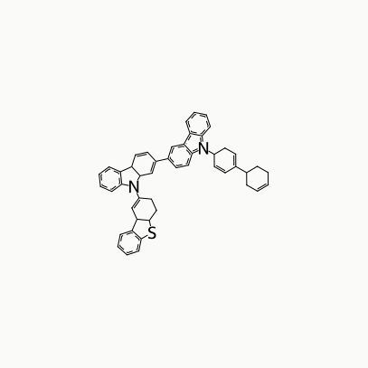 C1=CCC(C2=CCC(n3c4ccccc4c4cc(C5=CC6C(C=C5)c5ccccc5N6C5=CC6c7ccccc7SC6CC5)ccc43)C=C2)CC1